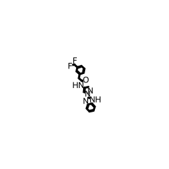 O=C(Cc1cccc(C(F)F)c1)Nc1cnn(-c2nc3ccccc3[nH]2)c1